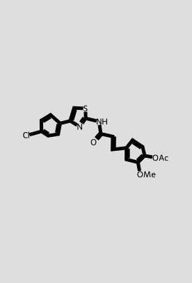 COc1cc(/C=C/C(=O)Nc2nc(-c3ccc(Cl)cc3)cs2)ccc1OC(C)=O